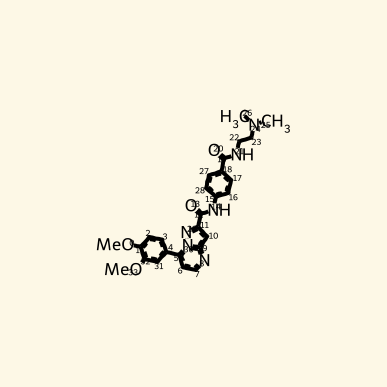 COc1ccc(-c2ccnc3cc(C(=O)Nc4ccc(C(=O)NCCN(C)C)cc4)nn23)cc1OC